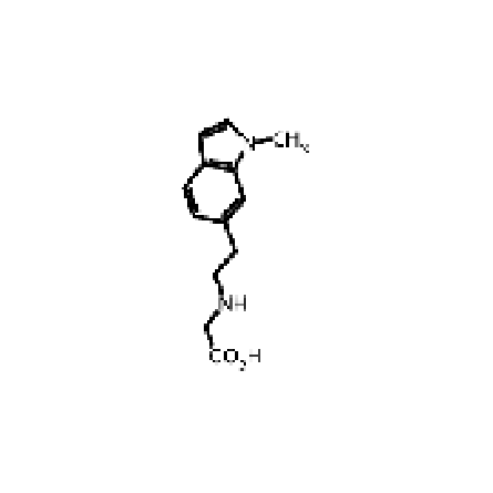 Cn1ccc2ccc(CCNCC(=O)O)cc21